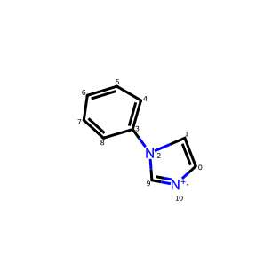 C1=CN(c2ccccc2)C=[N+]1